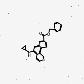 O=C(OCc1ccccc1)c1ccc2c(c1)cc(NC1CC1)c1ccncc12